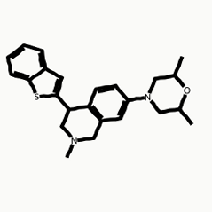 CC1CN(c2ccc3c(c2)CN(C)CC3c2cc3ccccc3s2)CC(C)O1